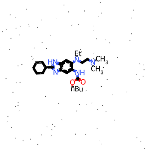 CCCCOC(=O)Nc1cc2nc(C3CCCCC3)[nH]c2cc1N(CC)CCN(C)C